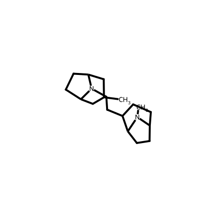 CC1CC2CCC(C1)N2CCC1CCC2CCC1N2C